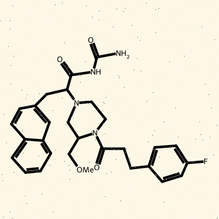 COCC1CN(C(Cc2ccc3ccccc3c2)C(=O)NC(N)=O)CCN1C(=O)[CH]Cc1ccc(F)cc1